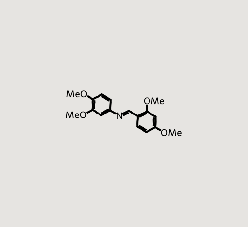 COc1ccc(/C=N/c2ccc(OC)c(OC)c2)c(OC)c1